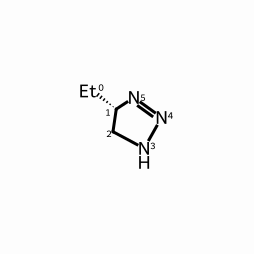 CC[C@H]1CNN=N1